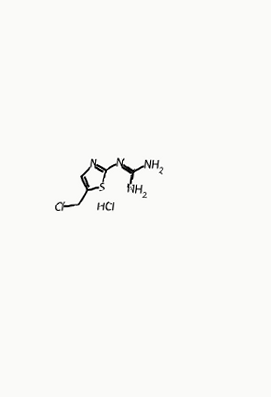 Cl.NC(N)=Nc1ncc(CCl)s1